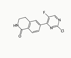 O=C1NCCc2cc(-c3nc(Cl)ncc3F)ccc21